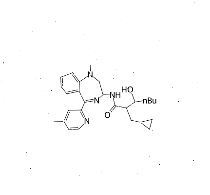 CCCCC(O)C(CC1CC1)C(=O)NC1CN(C)c2ccccc2C(c2cc(C)ccn2)=N1